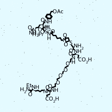 CCN[C@@H](CCCCNC(=O)[C@H](CCC(=O)O)NC(=O)CCOCCOCCOCCOCCNC(=O)[C@H](CCC(=O)O)NC(=O)[C@@H](N)CSC1CC(=O)N(CCCCCC(=O)N[SiH2][C@H](C(=O)N[C@@H](CCCNC(N)=O)C(=O)Nc2ccc(COC(C)=O)cc2)C(C)C)C1=O)C(N)=O